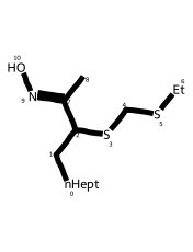 CCCCCCCCC(SCSCC)C(C)=NO